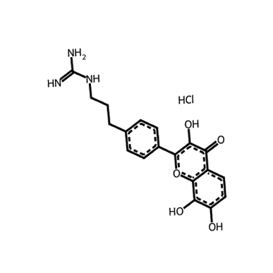 Cl.N=C(N)NCCCc1ccc(-c2oc3c(O)c(O)ccc3c(=O)c2O)cc1